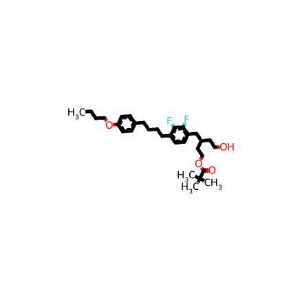 CCCCOc1ccc(CCCCc2ccc(CC(CCO)CCOC(=O)C(C)(C)C)c(F)c2F)cc1